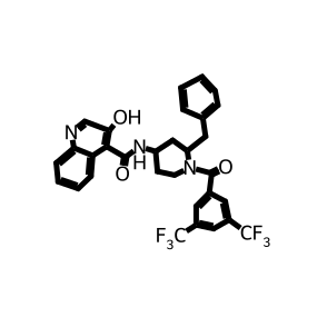 O=C(NC1CCN(C(=O)c2cc(C(F)(F)F)cc(C(F)(F)F)c2)C(Cc2ccccc2)C1)c1c(O)cnc2ccccc12